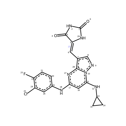 O=C1NC(=O)/C(=C/c2cnn3c(NC4CC4)cc(Nc4ccc(F)c(Cl)c4)nc23)N1